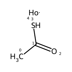 CC(=O)S.[Ho]